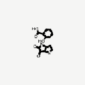 O=C(O)c1ccccc1O.O=c1nc2ccnc-2c1=O